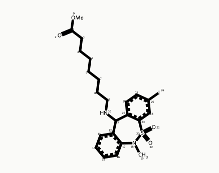 COC(=O)CCCCCCCNC1c2ccccc2N(C)S(=O)(=O)c2cc(I)ccc21